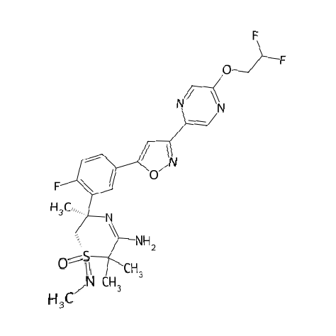 CN=[S@]1(=O)C[C@@](C)(c2cc(-c3cc(-c4cnc(OCC(F)F)cn4)no3)ccc2F)N=C(N)C1(C)C